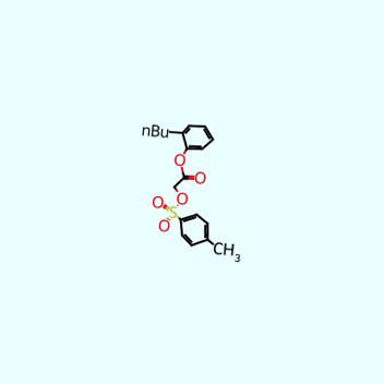 CCCCc1ccccc1OC(=O)COS(=O)(=O)c1ccc(C)cc1